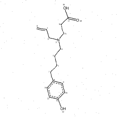 C=CCN(CCCCc1ccc(O)cc1)CCC(=O)O